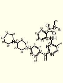 Cc1cnc(Nc2ccc(N3CCC(N4CCCCC4)CC3)nc2C)nc1Nc1ccccc1S(=O)(=O)N(C)C